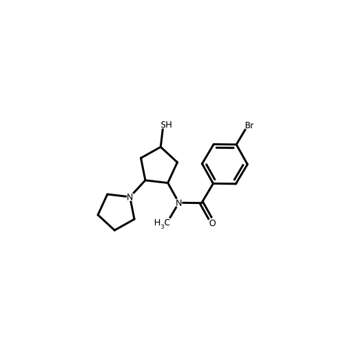 CN(C(=O)c1ccc(Br)cc1)C1CC(S)CC1N1CCCC1